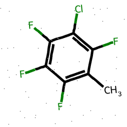 Cc1c(F)c(F)c(F)c(Cl)c1F